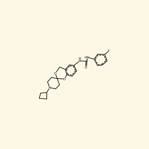 O=C(Nc1cccc(F)c1)Nc1ccc2c(c1)COC1(CCN(C3CCC3)CC1)O2